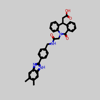 Cc1cc2nc(-c3ccc(CNC(=O)CN4C(=O)c5ccccc5C(CC(=O)O)c5ccccc54)cc3)[nH]c2cc1C